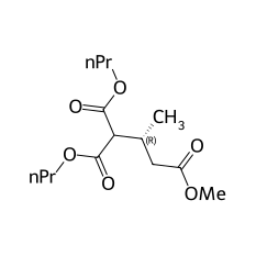 CCCOC(=O)C(C(=O)OCCC)[C@H](C)CC(=O)OC